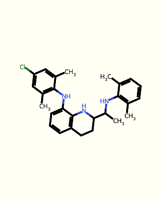 Cc1cc(Cl)cc(C)c1Nc1cccc2c1NC(C(C)Nc1c(C)cccc1C)CC2